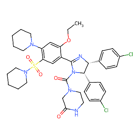 CCOc1cc(N2CCCCC2)c(S(=O)(=O)N2CCCCC2)cc1C1=N[C@H](c2ccc(Cl)cc2)[C@H](c2ccc(Cl)cc2)N1C(=O)N1CCNC(=O)C1